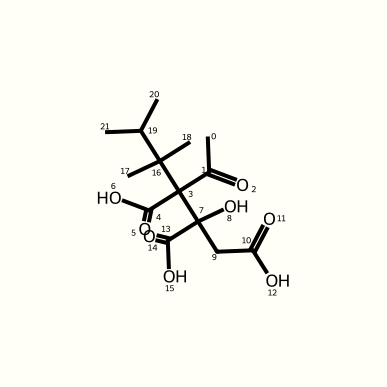 CC(=O)C(C(=O)O)(C(O)(CC(=O)O)C(=O)O)C(C)(C)C(C)C